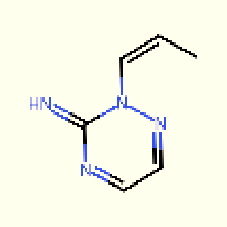 C/C=C\n1nccnc1=N